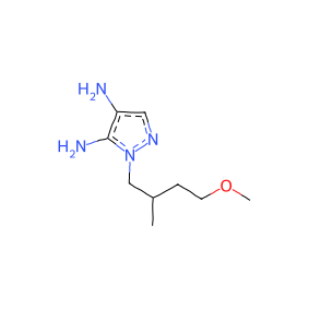 COCCC(C)Cn1ncc(N)c1N